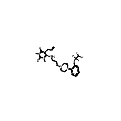 C=CCc1c(NCCCN2CCN(c3ccccc3OC(F)(F)C(F)F)CC2)n(C)c(=O)n(C)c1=O